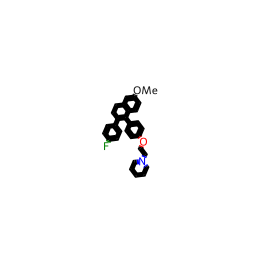 COc1ccc2c(c1)CCC(c1ccc(F)cc1)=C2c1ccc(OCCN2CCCCC2)cc1